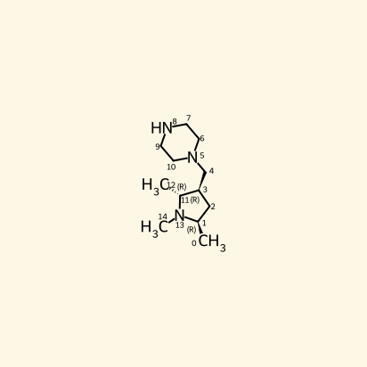 C[C@@H]1C[C@H](CN2CCNCC2)[C@@H](C)N1C